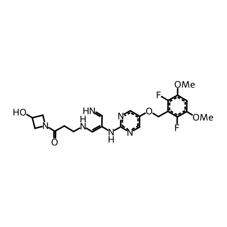 COc1cc(OC)c(F)c(COc2cnc(N/C(C=N)=C/NCCC(=O)N3CC(O)C3)nc2)c1F